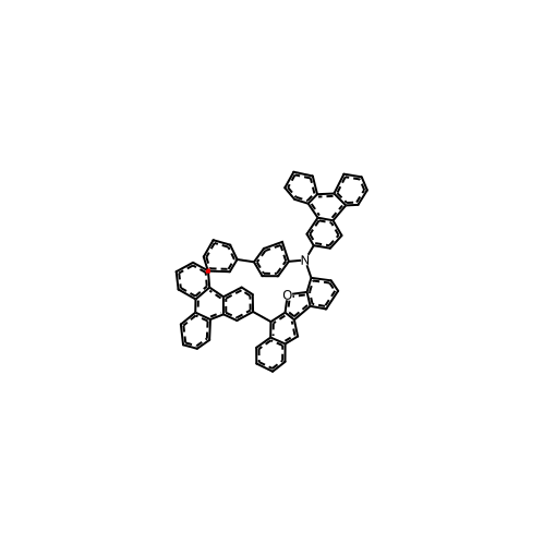 c1ccc(-c2ccc(N(c3ccc4c5ccccc5c5ccccc5c4c3)c3cccc4c3oc3c(-c5ccc6c7ccccc7c7ccccc7c6c5)c5ccccc5cc34)cc2)cc1